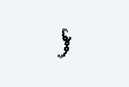 CCCCc1ccc(C2(C#N)CCC(C3CCC(CCCC)CC3)CC2)cc1